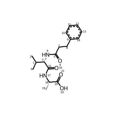 CC(C)[C@H](NC(=O)CCc1ccccc1)C(=O)N[C@@H](C)C(=O)O